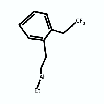 C[CH2][Al][CH2]Cc1ccccc1CC(F)(F)F